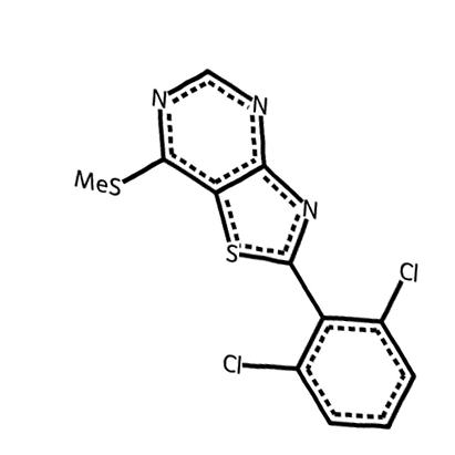 CSc1ncnc2nc(-c3c(Cl)cccc3Cl)sc12